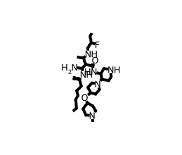 C=C(CCCCCC)NC(N)C(C(=O)NC1CNCCC1N1CCC(OC2CCN(C)CC2)CC1)C(C)NCC(F)CC